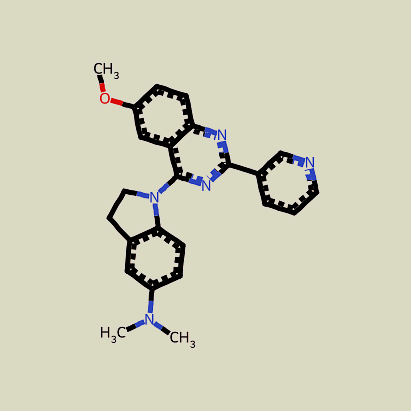 COc1ccc2nc(-c3cccnc3)nc(N3CCc4cc(N(C)C)ccc43)c2c1